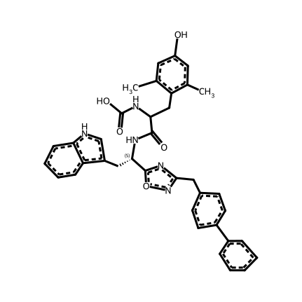 Cc1cc(O)cc(C)c1CC(NC(=O)O)C(=O)N[C@@H](Cc1c[nH]c2ccccc12)c1nc(Cc2ccc(-c3ccccc3)cc2)no1